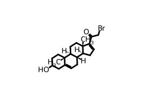 C[C@]12CCC(O)CC1=CC[C@@H]1[C@@H]2CC[C@]2(C)C(C(=O)CBr)=CC[C@@H]12